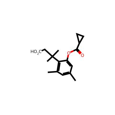 Cc1cc(C)c(C(C)(C)CC(=O)O)c(OC(=O)C2CC2)c1